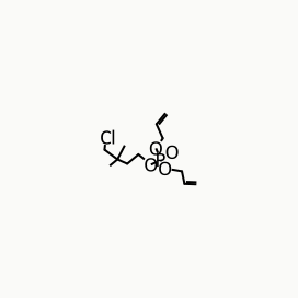 C=CCOP(=O)(OCC=C)OCCC(C)(C)CCl